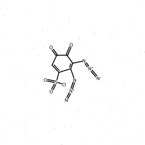 [N-]=[N+]=NC1=C(N=[N+]=[N-])C(S(=O)(=O)Cl)=CC(=O)C1=O